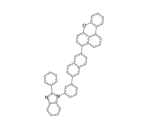 c1ccc(-c2nc3ccccc3n2-c2cccc(-c3ccc4cc(-c5ccc6c7c(cccc57)-c5ccccc5O6)ccc4c3)c2)cc1